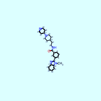 Cn1c(-c2cccc(C(=O)NCCC3CCN(c4ccncc4)CC3)c2)nc2ccccc21